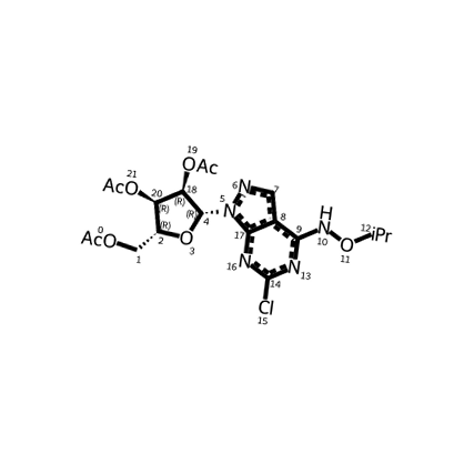 CC(=O)OC[C@H]1O[C@@H](n2ncc3c(NOC(C)C)nc(Cl)nc32)[C@H](OC(C)=O)[C@@H]1OC(C)=O